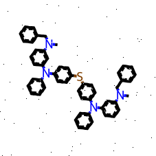 CN(Cc1ccccc1)c1cccc(N(c2ccccc2)c2ccc(Sc3ccc(N(c4ccccc4)c4cccc(N(C)Cc5ccccc5)c4)cc3)cc2)c1